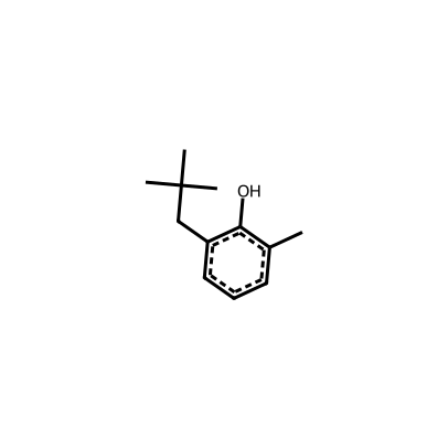 Cc1cccc(CC(C)(C)C)c1O